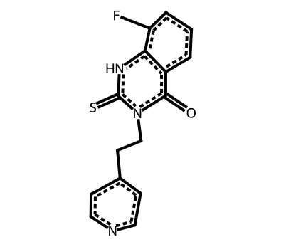 O=c1c2cccc(F)c2[nH]c(=S)n1CCc1ccncc1